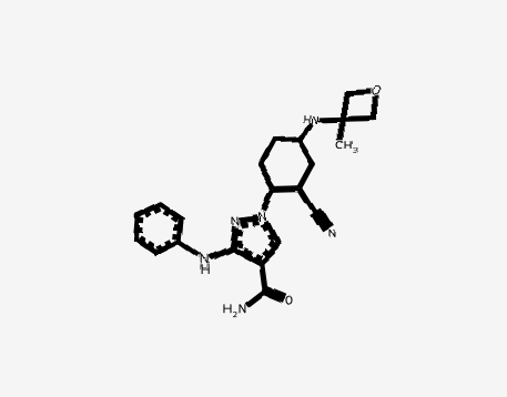 CC1(NC2CCC(n3cc(C(N)=O)c(Nc4ccccc4)n3)C(C#N)C2)COC1